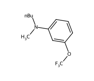 [CH2]CCCN(C)c1cccc(OC(F)(F)F)c1